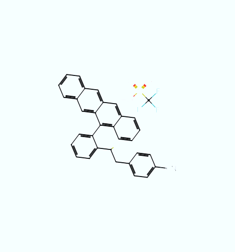 N#Cc1ccc(CC(S)c2ccccc2-c2c3ccccc3cc3cc4ccccc4cc23)cc1.O=S(=O)(O)C(F)(F)F